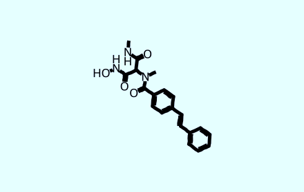 CNC(=O)C(C(=O)NO)N(C)C(=O)c1ccc(C=Cc2ccccc2)cc1